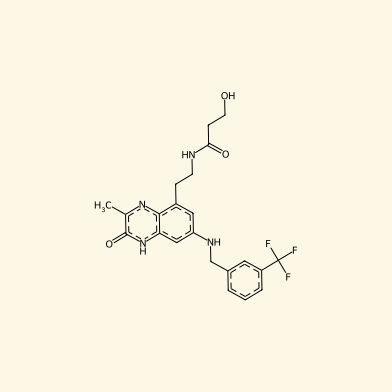 Cc1nc2c(CCNC(=O)CCO)cc(NCc3cccc(C(F)(F)F)c3)cc2[nH]c1=O